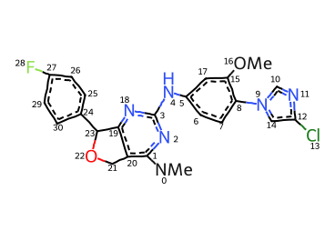 CNc1nc(Nc2ccc(-n3cnc(Cl)c3)c(OC)c2)nc2c1COC2c1ccc(F)cc1